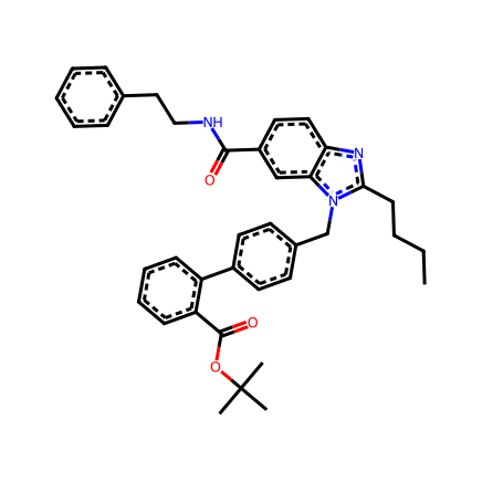 CCCCc1nc2ccc(C(=O)NCCc3ccccc3)cc2n1Cc1ccc(-c2ccccc2C(=O)OC(C)(C)C)cc1